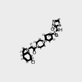 C[C@H](C(=O)N1CCN(c2ccc(S(=O)(=O)Nc3nncs3)cc2)CC1)n1ccc2ccc(Cl)cc21